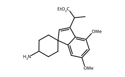 CCOC(=O)C(C)C1=CC2(CCC(N)CC2)c2cc(OC)cc(OC)c21